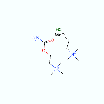 COCC[N+](C)(C)C.C[N+](C)(C)CCOC(N)=O.Cl